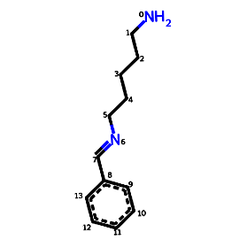 NCCCCCN=Cc1ccccc1